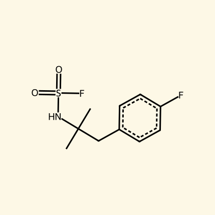 CC(C)(Cc1ccc(F)cc1)NS(=O)(=O)F